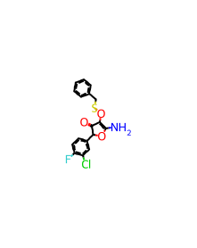 NC1=C(OSCc2ccccc2)C(=O)C(c2ccc(F)c(Cl)c2)O1